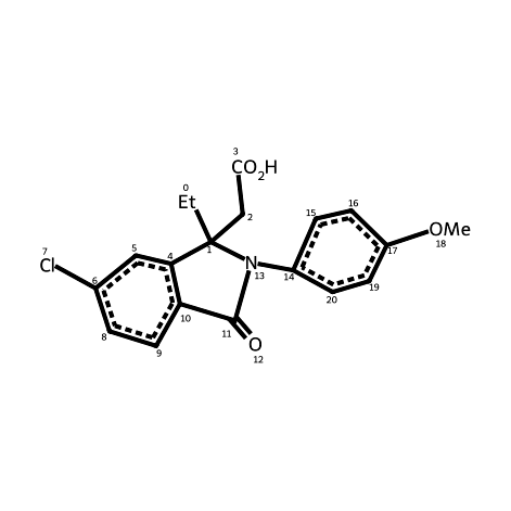 CCC1(CC(=O)O)c2cc(Cl)ccc2C(=O)N1c1ccc(OC)cc1